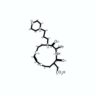 CC(C)C1NC(=O)C(CC(=O)O)CCCC=CCCCN(CCCN2CCOCC2)C1=O